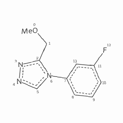 COCc1nncn1-c1cccc(F)c1